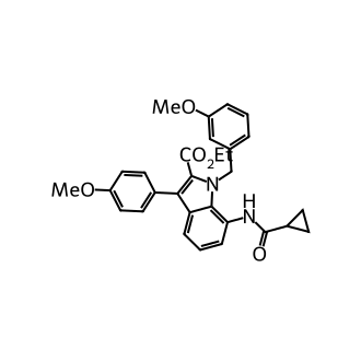 CCOC(=O)c1c(-c2ccc(OC)cc2)c2cccc(NC(=O)C3CC3)c2n1Cc1cccc(OC)c1